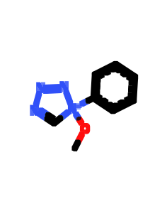 CO[N+]1(c2ccccc2)C=NN=N1